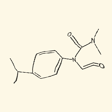 CC(C)c1ccc(N(C=O)C(=O)N(C)C)cc1